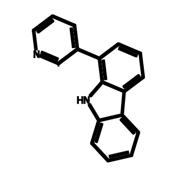 [c]1ncccc1-c1cccc2c1[nH]c1ccccc12